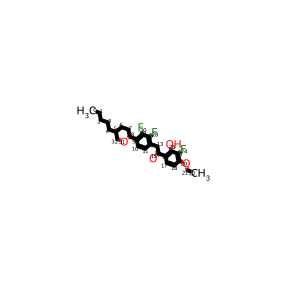 CCCCCC1CCC(c2ccc(CC(=O)c3ccc(OCC)c(F)c3O)c(F)c2F)OC1